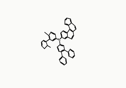 Cc1ccc(N(c2ccc(-c3ccccc3)c(-c3ccccc3)c2)c2ccc3c(ccc4ccc5ccccc5c43)c2)cc1C1=CC=CCC1C